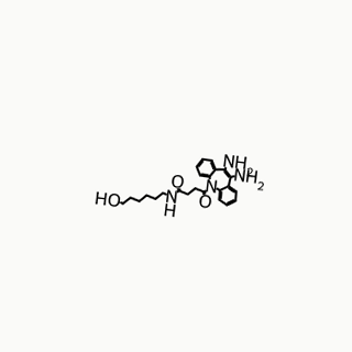 NC1=C(N)c2ccccc2N(C(=O)CCC(=O)NCCCCCCO)c2ccccc21